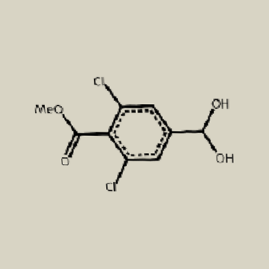 COC(=O)c1c(Cl)cc(C(O)O)cc1Cl